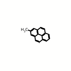 Cc1cc2c[c]c3cccc4ccc(c1)c2c34